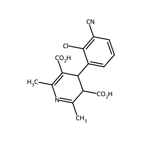 CC1=NC(C)=C(C(=O)O)C(c2cccc(C#N)c2Cl)C1C(=O)O